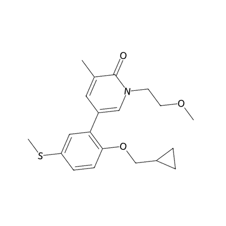 COCCn1cc(-c2cc(SC)ccc2OCC2CC2)cc(C)c1=O